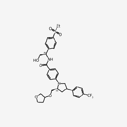 CCS(=O)(=O)c1ccc([C@H](CO)NC(=O)c2ccc(N3CC(c4ccc(C(F)(F)F)cc4)C[C@H]3COC3CCOC3)cc2)cc1